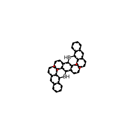 B(c1c2ccccc2cc2ccccc12)c1c2ccccc2c(Bc2c3ccccc3cc3ccccc23)c2ccccc12